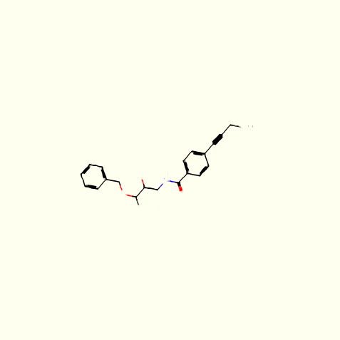 CCOC(=O)C(OCc1ccccc1)C(O)CNC(=O)c1ccc(C#CCOC)cc1